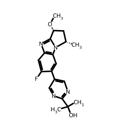 CO[C@@H]1C[C@H](C)n2c1nc1cc(F)c(-c3cnc(C(C)(C)O)nc3)cc12